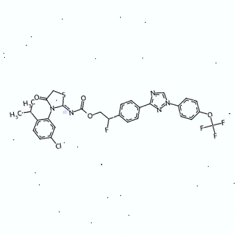 CC(C)c1ccc(Cl)cc1N1C(=O)CS/C1=N\C(=O)OCC(F)c1ccc(-c2ncn(-c3ccc(OC(F)(F)F)cc3)n2)cc1